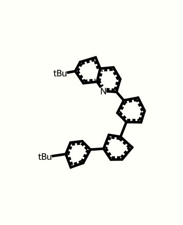 CC(C)(C)c1ccc(-c2cccc(-c3cccc(-c4ccc5ccc(C(C)(C)C)cc5n4)c3)c2)cc1